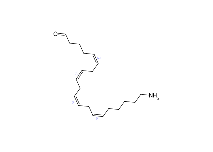 NCCCCC/C=C\C/C=C\C/C=C\C/C=C\CCC[C]=O